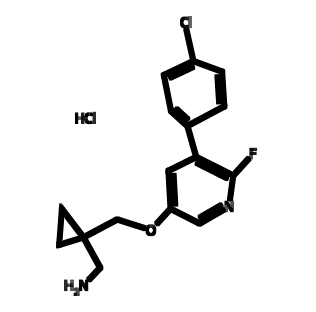 Cl.NCC1(COc2cnc(F)c(-c3ccc(Cl)cc3)c2)CC1